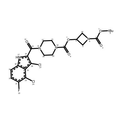 CC(C)(C)OC(=O)N1CC(OC(=O)N2CCN(C(=O)c3[nH]c4ccc(F)c(Cl)c4c3Cl)CC2)C1